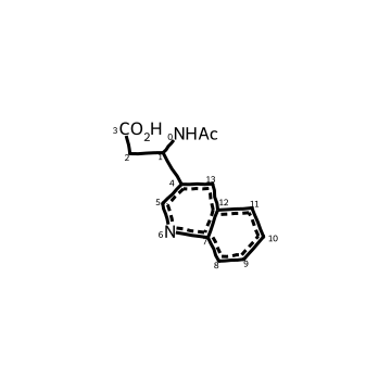 CC(=O)NC(CC(=O)O)c1cnc2ccccc2c1